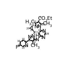 CCOC(=O)c1c(C)nn(-c2cc(Nc3c(C)c(-c4ccc(F)cn4)nn3CC3CC3)ncn2)c1C